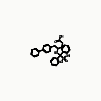 O=C(O)CCC(Cc1ccc(-c2ccccc2)cc1)NC(c1ccccc1)(c1ccccc1)P(=O)(O)O